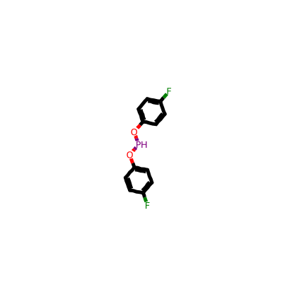 Fc1ccc(OPOc2ccc(F)cc2)cc1